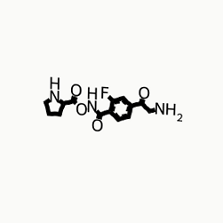 NCC(=O)c1ccc(C(=O)NOC(=O)C2CCCN2)c(F)c1